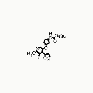 Cc1ncc(O[C@@H]2CC[C@H](NC(=O)OC(C)(C)C)C2)c(-c2ccno2)c1F